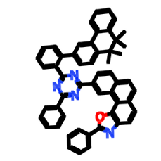 CC1(C)c2ccccc2-c2cc(-c3ccccc3-c3nc(-c4ccccc4)nc(-c4ccc5ccc6ccc7nc(-c8ccccc8)oc7c6c5c4)n3)ccc2C1(C)C